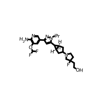 CC(C)n1nc(-c2cnc(N)c(OC(F)F)c2)cc1C1[C@H]2CC(N3CCC(F)(CCO)C3)C[C@@H]12